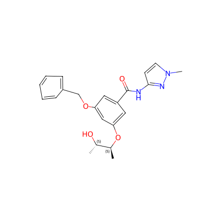 C[C@H](O)[C@H](C)Oc1cc(OCc2ccccc2)cc(C(=O)Nc2ccn(C)n2)c1